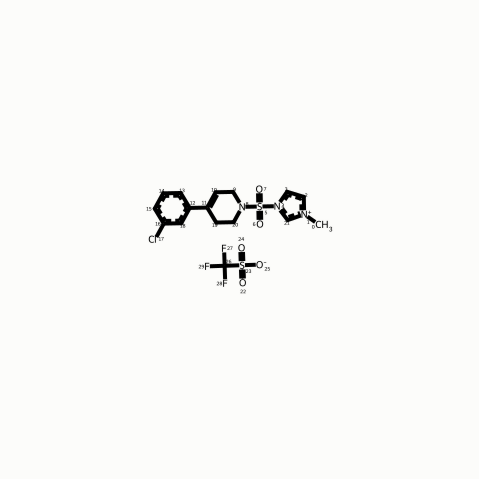 C[n+]1ccn(S(=O)(=O)N2CC=C(c3cccc(Cl)c3)CC2)c1.O=S(=O)([O-])C(F)(F)F